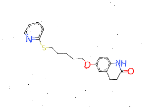 O=C1CCc2cc(OCCCCCSc3ccccn3)ccc2N1